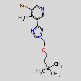 Cc1c(Br)cncc1-c1cn(COCC[Si](C)(C)C)cn1